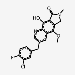 COc1c2c(c(O)c3ncc(Cc4ccc(F)c(Cl)c4)cc13)C(=O)N(C)C2